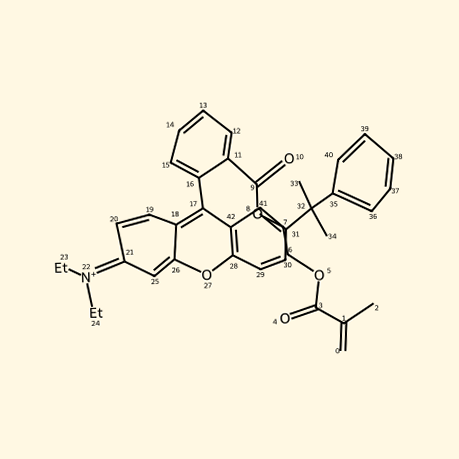 C=C(C)C(=O)OCCOC(=O)c1ccccc1-c1c2ccc(=[N+](CC)CC)cc-2oc2ccc(C(C)(C)c3ccccc3)cc12